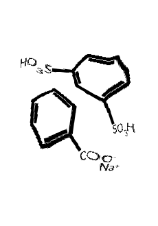 O=C([O-])c1ccccc1.O=S(=O)(O)c1cccc(S(=O)(=O)O)c1.[Na+]